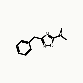 CN(C)c1nc(Cc2ccccc2)no1